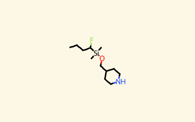 CCCC(F)[Si](C)(C)OCC1CCNCC1